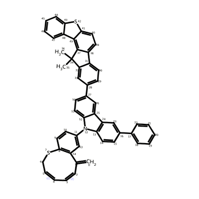 C=C1/C=C\C=C/CSc2ccc(-n3c4ccc(-c5ccccc5)cc4c4cc(-c5ccc6c(c5)C(C)(C)c5c-6ccc6sc7ccccc7c56)ccc43)cc21